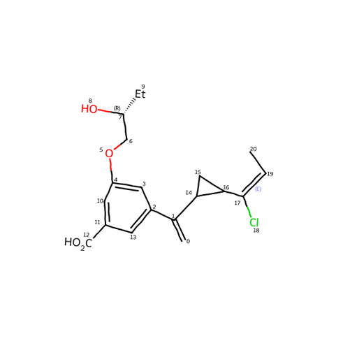 C=C(c1cc(OC[C@H](O)CC)cc(C(=O)O)c1)C1CC1/C(Cl)=C\C